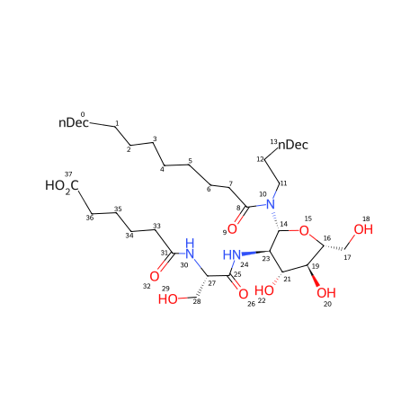 CCCCCCCCCCCCCCCCCC(=O)N(CCCCCCCCCCCC)[C@@H]1O[C@H](CO)[C@@H](O)[C@H](O)[C@H]1NC(=O)[C@H](CO)NC(=O)CCCCC(=O)O